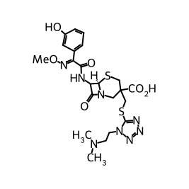 CON=C(C(=O)NC1C(=O)N2CC(CSc3nnnn3CCN(C)C)(C(=O)O)CS[C@H]12)c1cccc(O)c1